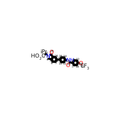 CC(C)[C@@H](C(=O)O)N1Cc2ccc(-c3ccc(NC(=O)c4ccc(OC(F)(F)F)cc4)cc3)cc2C1=O